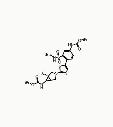 CC(C)OC(=O)Nc1ccc(-c2cnc(N3CC4C(NC(=O)OC(C)C)[C@]4(C)C3)s2)c(S(=O)(=O)NC(C)(C)C)c1